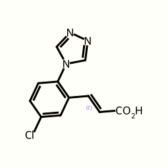 O=C(O)/C=C/c1cc(Cl)ccc1-n1cnnc1